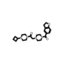 O=C(CN1CCN(C(=O)c2ccc3c(c2)CCO3)CC1)N1CCN(C2CCC2)CC1